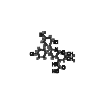 CC1(C)CC(NC(=O)O)c2cc(-c3ccc(Cl)cc3)c(-c3ccc(Br)cc3Cl)nc2O1